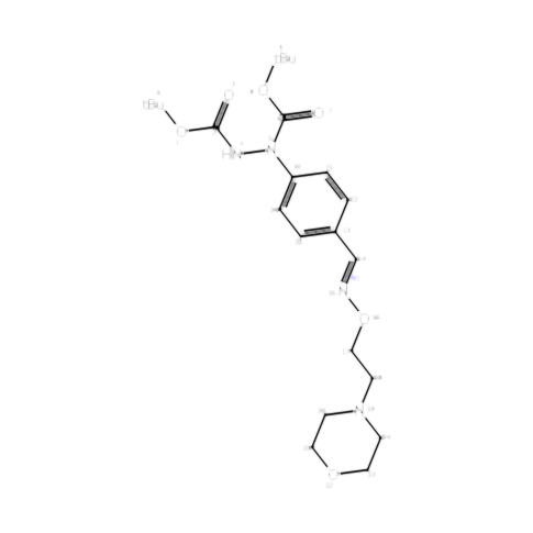 CC(C)(C)OC(=O)NN(C(=O)OC(C)(C)C)c1ccc(/C=N/OCCN2CCOCC2)cc1